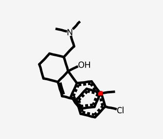 Cc1cccc(C2(O)/C(=C\c3ccc(Cl)cc3)CCCC2CN(C)C)c1